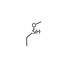 CC[SiH]OC